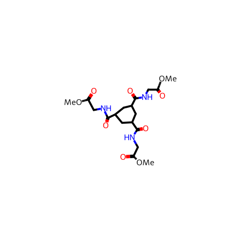 COC(=O)CNC(=O)C1CC(C(=O)NCC(=O)OC)CC(C(=O)NCC(=O)OC)C1